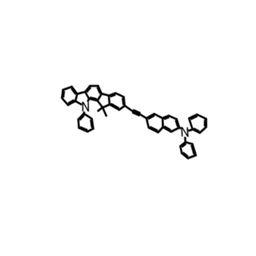 CC1(C)c2cc(C#Cc3ccc4cc(N(c5ccccc5)c5ccccc5)ccc4c3)ccc2-c2ccc3c4ccccc4n(-c4ccccc4)c3c21